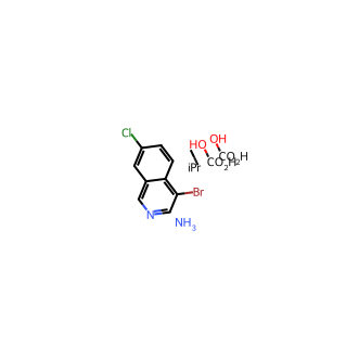 CC(C)C.Clc1ccc2c(Br)cncc2c1.N.O=C(O)O.O=C(O)O